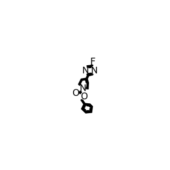 O=C(OCc1ccccc1)N1CC=C(c2cnc(F)cn2)CC1